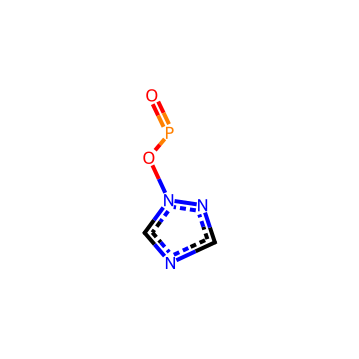 O=POn1cncn1